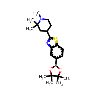 CN1CCC(c2nc3cc(B4OC(C)(C)C(C)(C)O4)ccc3s2)CC1(C)C